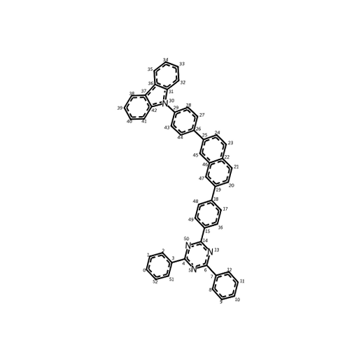 c1ccc(-c2nc(-c3ccccc3)nc(-c3ccc(-c4ccc5ccc(-c6ccc(-n7c8ccccc8c8ccccc87)cc6)cc5c4)cc3)n2)cc1